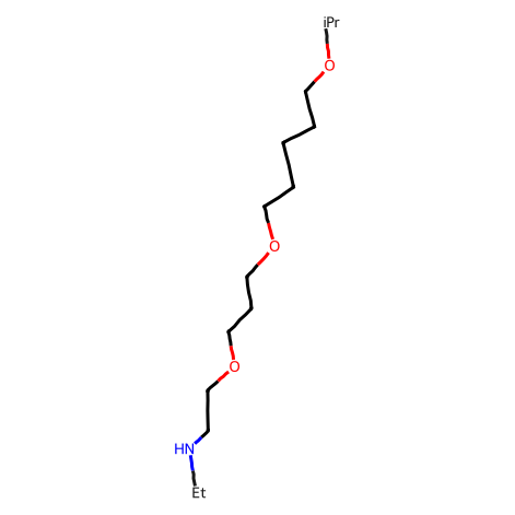 CCNCCOCCCOCCCCCOC(C)C